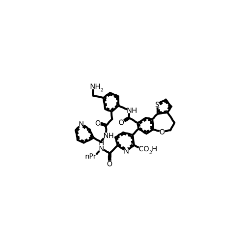 CCCNC(=O)c1ccc(-c2cc3c(cc2C(=O)Nc2ccc(CN)cc2CC(=O)NCc2cccnc2)-c2sccc2CCO3)c(C(=O)O)n1